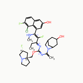 C=C(\N=C(/N=C(CC)/C(F)=C(\NC)c1cc(O)cc2ccc(F)c(Cl)c12)OC[C@@]12CCCN1C[C@H](F)C2)N1CC2CC(O)CC1C2